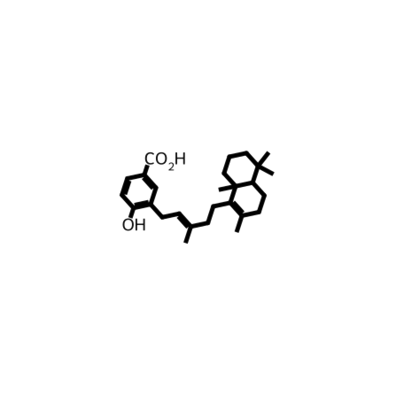 CC(=CCc1cc(C(=O)O)ccc1O)CCC1=C(C)CCC2C(C)(C)CCCC12C